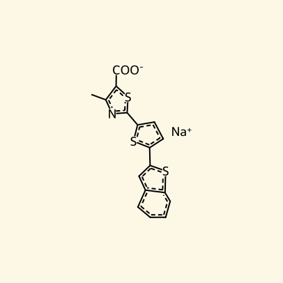 Cc1nc(-c2ccc(-c3cc4ccccc4s3)s2)sc1C(=O)[O-].[Na+]